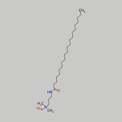 CCCCCCCCCCCCCCCCCCCCCC(=O)NCCC[N+](C)(C)C=O